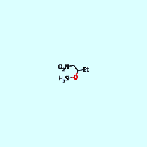 CCC(C[N+](=O)[O-])O[SiH3]